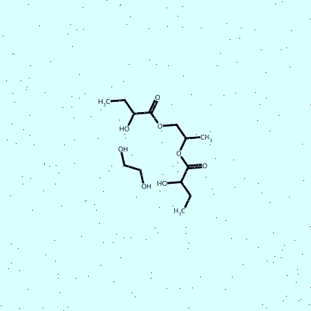 CCC(O)C(=O)OCC(C)OC(=O)C(O)CC.OCCO